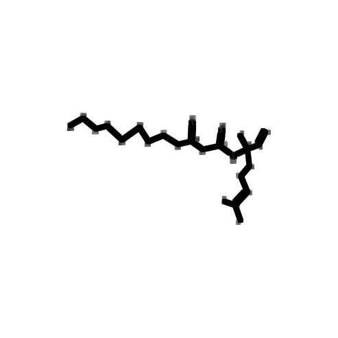 C=CC(C)(CCC=C(C)C)OC(=O)CC(=O)CCCCCCCCC